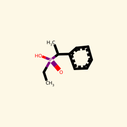 CCP(=O)(O)C(C)c1ccccc1